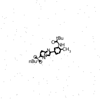 CCCCS(=O)(=O)c1ccc2nc(-c3ccc(C)c(NC(=O)C(C)(C)C)c3)cn2n1